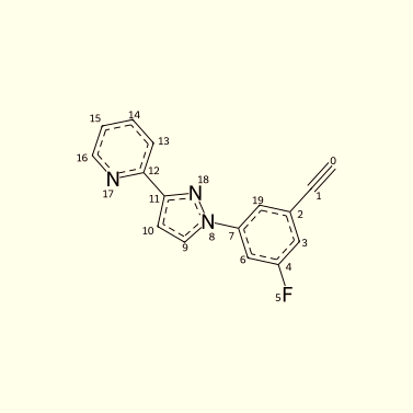 C#Cc1cc(F)cc(-n2ccc(-c3ccccn3)n2)c1